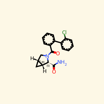 NC(=O)[C@@H]1[C@@H]2C[C@@H]2CN1C(=O)c1ccccc1-c1ccccc1Cl